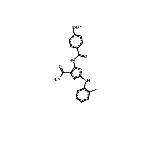 CC(=O)Nc1ccc(C(=O)Nc2sc(Nc3ccccc3C)nc2C(N)=O)cc1